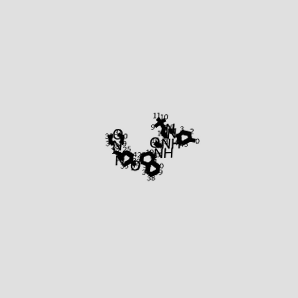 Cc1ccc(-n2nc(C(C)(C)C)cc2NC(=O)NC2CCC(Oc3ccc(CN4CCOCC4)nc3)c3ccccc32)cc1